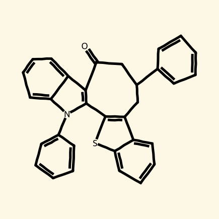 O=C1CC(c2ccccc2)Cc2c(sc3ccccc23)-c2c1c1ccccc1n2-c1ccccc1